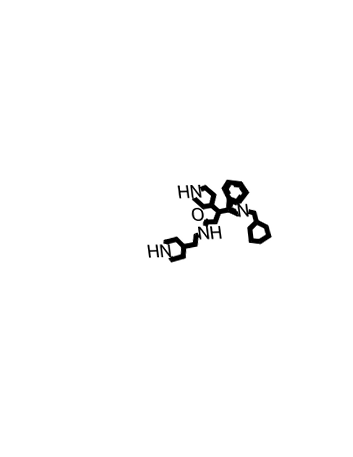 O=C(CC(c1cn(CC2CCCCC2)c2ccccc12)C1CCNCC1)NCCC1CCNCC1